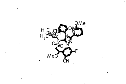 COc1cccc(-c2nnc(N(CC[Si](C)(C)C)S(=O)(=O)CC(OC)c3ccc(F)cc3C#N)n2-c2c(OC)cccc2OC)n1